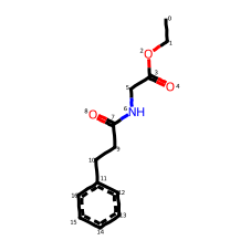 CCOC(=O)CNC(=O)CCc1ccccc1